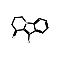 O=C1CCCn2c1c(Br)c1ccccc12